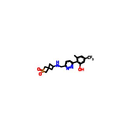 Cc1cc(C(F)(F)F)cc(O)c1-c1ccc(CNC2CC3(C2)CS(=O)(=O)C3)nn1